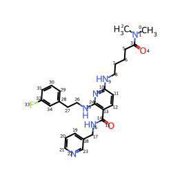 CN(C)C(=O)CCCCNc1ccc(C(=O)NCc2cccnc2)c(NCCc2cccc(F)c2)n1